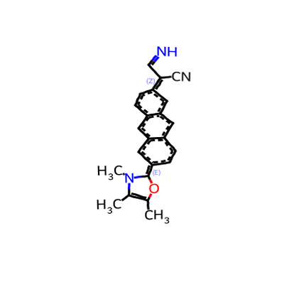 CC1=C(C)N(C)/C(=c2/ccc3cc4c/c(=C(\C#N)C=N)ccc4cc3c2)O1